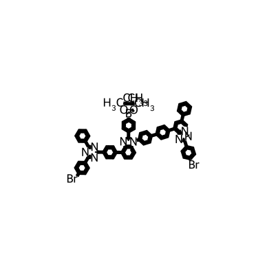 CC1(C)OB(c2ccc(-c3nc4c(-c5ccc(-c6nc(-c7ccccc7)nc(-c7ccc(Br)cc7)n6)cc5)cccc4n3-c3ccc(-c4ccc(-c5cc(-c6ccccc6)cn6nc(-c7ccc(Br)cc7)nc56)cc4)cc3)cc2)OC1(C)C